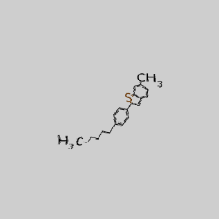 CCCCCCc1ccc(-c2cc3ccc(C)cc3s2)cc1